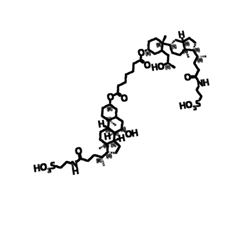 C[C@H](CCC(=O)NCCS(=O)(=O)O)[C@H]1CC[C@H]2C[C@@H]([C@@]3(C)CC[C@@H](OC(=O)CCCCCC(=O)O[C@@H]4CC[C@@]5(C)C(C4)C[C@H](O)[C@H]4[C@@H]6CC[C@H]([C@H](C)CCC(=O)NCCS(=O)(=O)O)[C@@]6(C)CC[C@@H]45)CC3C[C@@H](C)O)CC[C@@]21C